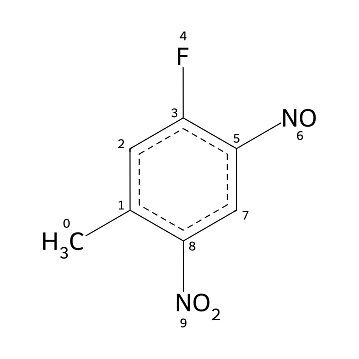 Cc1cc(F)c(N=O)cc1[N+](=O)[O-]